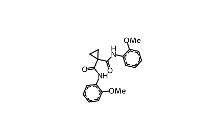 COc1ccccc1NC(=O)C1(C(=O)Nc2ccccc2OC)CC1